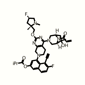 C#Cc1c(F)ccc2cc(OC(=O)C(C)C)cc(N3CCc4c(nc(OC[C@]5(C)C[C@@H](F)CN5C)nc4N4C[C@H]5CC(C)(O)[C@@H](C4)N5C(=O)C=C)C3)c12